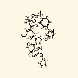 CC[C@@H]1C[C@]1(NC(=O)[C@@H]1C[C@@H](Oc2ccnc(-c3ccccc3)n2)CN1C(=O)[C@@H](NC(=O)OC1CCCC1)C(C)(C)C)C(=O)NS(=O)(=O)OC1CC1